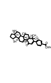 COC(=O)c1ccc(C2=CC(=O)[C@]3(C)[C@H]4CC[C@@H]5[C@H]6[C@H](C(C)C)CC[C@]6(N)CC[C@@]5(C)[C@]4(C)CC[C@H]3C2(C)C)cc1